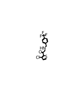 O=C(CNCc1ccc(C(F)(F)F)cc1)c1sccc1Cl